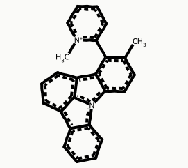 Cc1ccc2c(c1-c1cccc[n+]1C)c1cccc3c4ccccc4n2c31